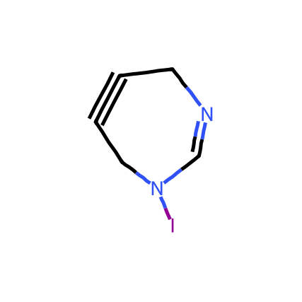 IN1C=NCC#CC1